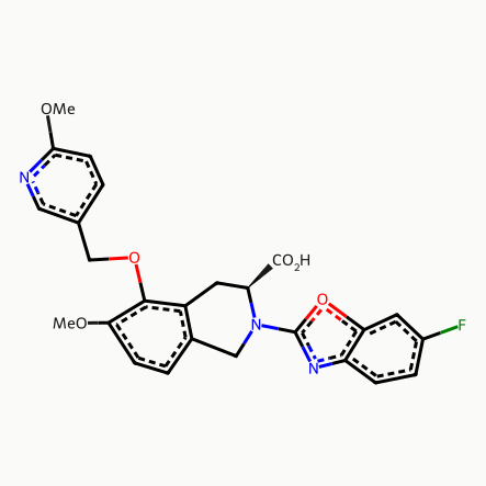 COc1ccc(COc2c(OC)ccc3c2C[C@@H](C(=O)O)N(c2nc4ccc(F)cc4o2)C3)cn1